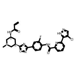 C=CC(=O)N[C@H]1C[C@@H](c2nc(-c3ccc(NC(=O)c4cccc(-c5[nH]ncc5Cl)n4)c(F)c3)no2)CN(C)C1